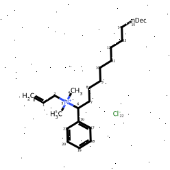 C=CC[N+](C)(C)C(CCCCCCCCCCCCCCCCCC)c1ccccc1.[Cl-]